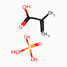 C=C(C)C(=O)O.O=P(O)(O)O